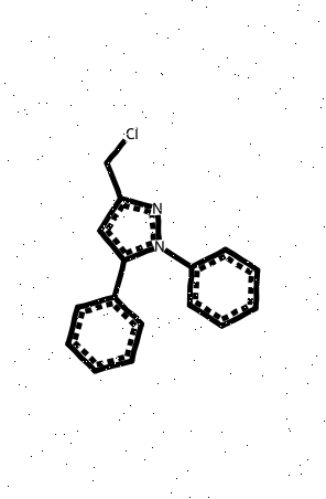 ClCc1cc(-c2ccccc2)n(-c2ccccc2)n1